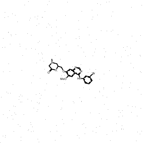 COc1cc2c(Nc3cccc(Br)c3)ncnc2cc1OCC1CN(C)CC(=O)O1